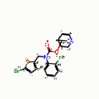 O=C(OC1CN2CCC1CC2)N(Cc1ccc(Br)s1)c1ccccc1F